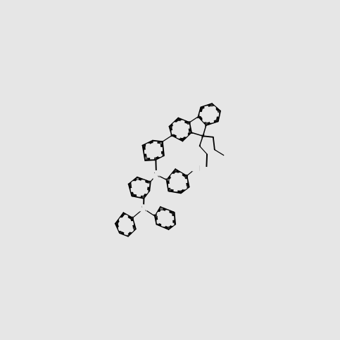 CCCC1(CCC)c2ccccc2-c2ccc(-c3cccc(N(c4cccc(Cl)c4)c4cccc(N(c5ccccc5)c5ccccc5)c4)c3)cc21